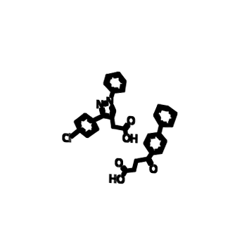 O=C(O)CCC(=O)c1ccc(-c2ccccc2)cc1.O=C(O)Cc1cn(-c2ccccc2)nc1-c1ccc(Cl)cc1